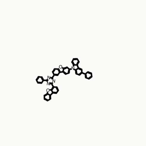 c1ccc(-c2ccc3c(c2)c2ccccc2n3-c2ccc3c(c2)oc2ccc(-c4nc(-c5ccccc5)nc(-c5cccc6c5oc5ccccc56)n4)cc23)cc1